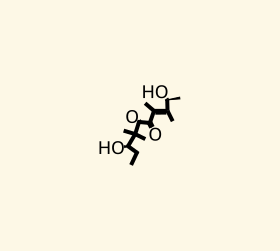 CC[C@@H](O)C(C)(C)C(=O)C(=O)/C(C)=C(\C)[C@H](C)O